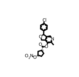 Cc1ncc2c(c1OC(=O)[C@@H]1CC[C@H](O[N+](=O)[O-])C1)COC2c1ccc(Cl)cc1